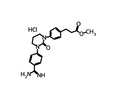 COC(=O)CCc1ccc(N2CCCN(c3ccc(C(=N)N)cc3)C2=O)cc1.Cl